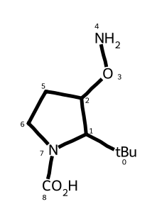 CC(C)(C)C1C(ON)CCN1C(=O)O